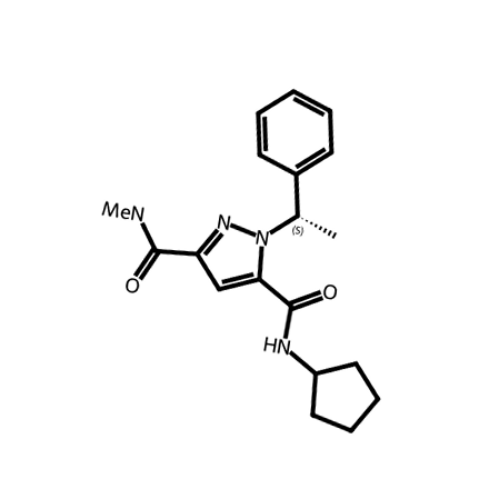 CNC(=O)c1cc(C(=O)NC2CCCC2)n([C@@H](C)c2ccccc2)n1